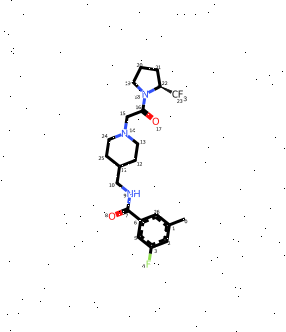 Cc1cc(F)cc(C(=O)NCC2CCN(CC(=O)N3CCC[C@H]3C(F)(F)F)CC2)c1